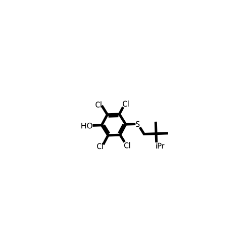 CC(C)C(C)(C)CSc1c(Cl)c(Cl)c(O)c(Cl)c1Cl